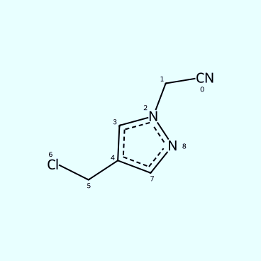 N#CCn1cc(CCl)cn1